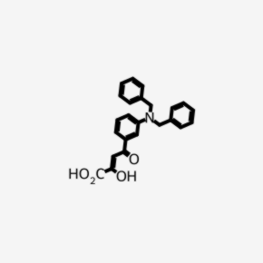 O=C(O)C(O)=CC(=O)c1cccc(N(Cc2ccccc2)Cc2ccccc2)c1